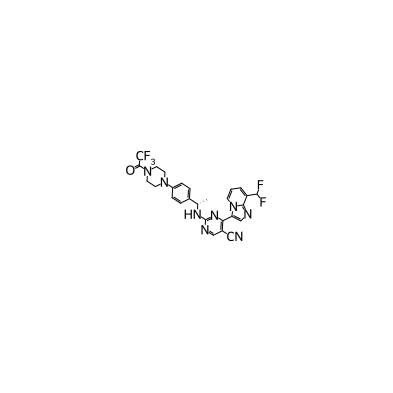 C[C@H](Nc1ncc(C#N)c(-c2cnc3c(C(F)F)cccn23)n1)c1ccc(N2CCN(C(=O)C(F)(F)F)CC2)cc1